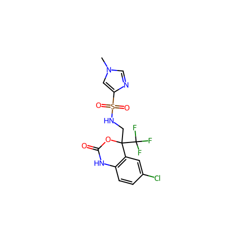 Cn1cnc(S(=O)(=O)NCC2(C(F)(F)F)OC(=O)Nc3ccc(Cl)cc32)c1